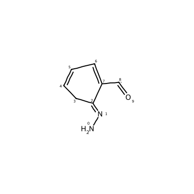 NN=C1CC=CC=C1[C]=O